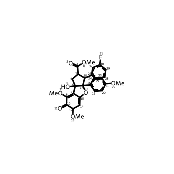 COC(=O)C1CC2(O)C3=C(OC)C(=O)C(OC)C=C3OC2(c2ccc(OC)cc2)C1c1cccc(F)c1